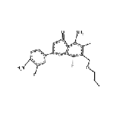 CCCOCc1c(F)c(N)c2c(=O)cc(-c3ccc(N)c(F)c3)oc2c1F